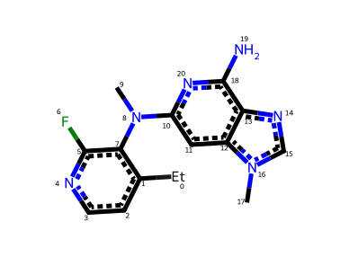 CCc1ccnc(F)c1N(C)c1cc2c(ncn2C)c(N)n1